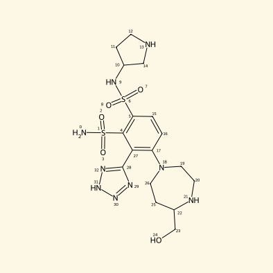 NS(=O)(=O)c1c(S(=O)(=O)NC2CCNC2)ccc(N2CCNC(CO)CC2)c1-c1nn[nH]n1